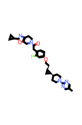 Cc1cnc(N2CCC([C@H]3C[C@H]3CCOc3ccc(CC(=O)N4CCc5nc(C6CC6)oc5C4)c(F)c3)CC2)nc1